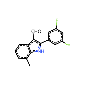 Cc1cccc2c(C=O)c(-c3cc(F)cc(F)c3)[nH]c12